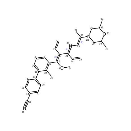 C=CC(=C(/OC)c1cccc(-c2ccc(C#N)cc2)c1C)/C(C=C)=N/C=C(\C)N1CC(C)OC(C)C1